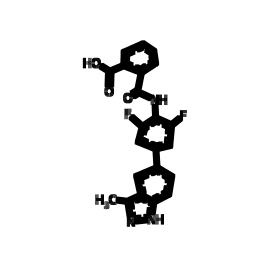 Cc1n[nH]c2ccc(-c3cc(F)c(NC(=O)c4ccccc4C(=O)O)c(F)c3)cc12